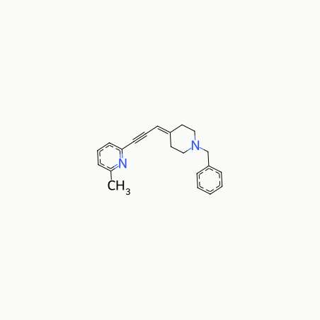 Cc1cccc(C#CC=C2CCN(Cc3ccccc3)CC2)n1